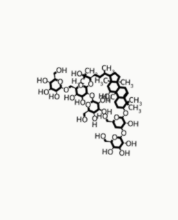 C[C@H](CC[C@@H](O[C@@H]1O[C@H](CO[C@H]2O[C@H](CO)[C@@H](O)[C@H](O)[C@H]2O)[C@@H](O)[C@H](O)[C@H]1O[C@@H]1O[C@H](CO)[C@@H](O)[C@H](O)[C@H]1O)C(C)(C)O)C1CC[C@@]2(C)C3CC=C4C(CC[C@H](O[C@@H]5O[C@H](CO)C[C@H](O[C@@H]6O[C@H](CO)[C@@H](O)[C@H](O)[C@H]6O)[C@H]5O)C4(C)C)[C@]3(C)[C@H](O)C[C@]12C